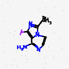 Bc1nc(I)c2c(N)nccn12